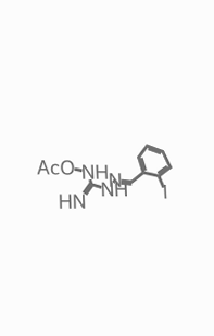 CC(=O)ONC(=N)NN=Cc1ccccc1I